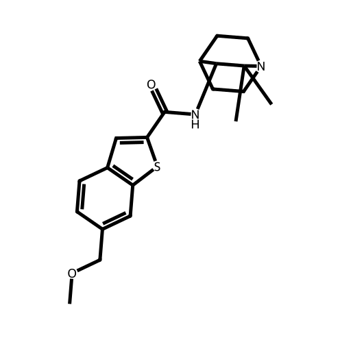 COCc1ccc2cc(C(=O)NC3C4CCN(CC4)C3(C)C)sc2c1